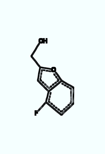 OCc1cc2c(F)cccc2o1